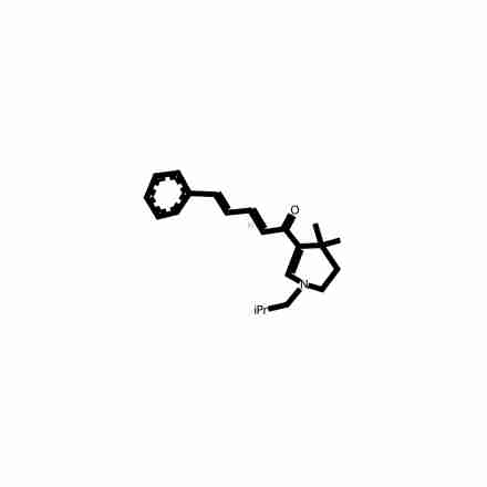 CC(C)CN1C=C(C(=O)/C=C/C=Cc2ccccc2)C(C)(C)CC1